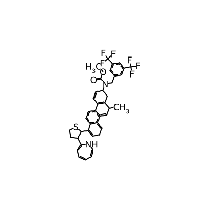 COC(=O)N(Cc1cc(C(F)(F)F)cc(C(F)(F)F)c1)C1C=CC2=C(C1)C(C)C=c1c2ccc2c1=CCC=C2C1SCCC1C1=CC=CC=CN1